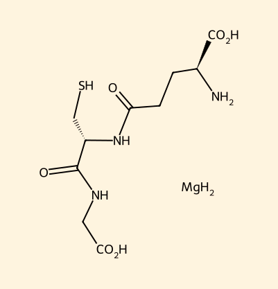 N[C@@H](CCC(=O)N[C@@H](CS)C(=O)NCC(=O)O)C(=O)O.[MgH2]